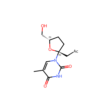 CC(=O)C[C@]1(n2cc(C)c(=O)[nH]c2=O)CC[C@@H](CO)O1